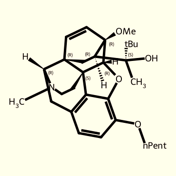 CCCCCOc1ccc2c3c1O[C@H]1[C@@]4(OC)C=C[C@@]5(C[C@@H]4[C@](C)(O)C(C)(C)C)[C@@H](C2)N(C)CC[C@]315